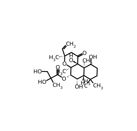 C=C[C@@]1(C)CC(=O)[C@]2(O)[C@@]3(C)[C@@H](O)CCC(C)(C)[C@@H]3[C@H](O)[C@H](OC(=O)C(C)(O)CO)[C@@]2(C)O1